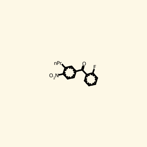 CCCc1cc(C(=O)c2ccccc2F)ccc1[N+](=O)[O-]